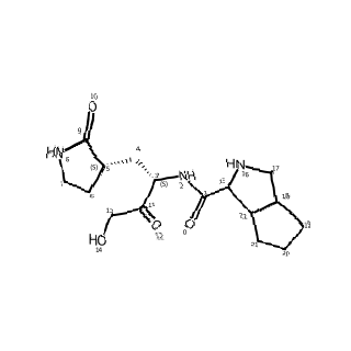 O=C(N[C@@H](C[C@@H]1CCNC1=O)C(=O)CO)C1NCC2CCCC21